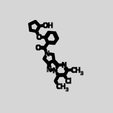 CCc1c(Cl)c(C)nc2c3c(nn12)CN(C(=O)c1ccccc1OC1CCCC1O)C3